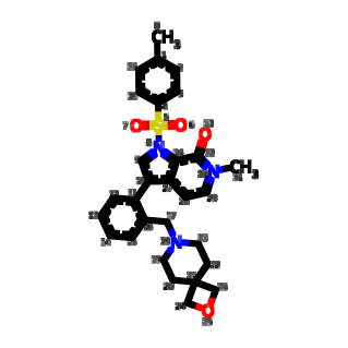 Cc1ccc(S(=O)(=O)n2cc(-c3ccccc3CN3CCC4(CC3)COC4)c3ccn(C)c(=O)c32)cc1